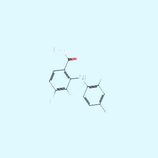 Cc1ccc(Nc2c(C(=O)O)ccc(F)c2F)c(Cl)c1